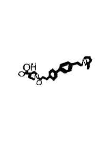 CC1CCCN1CCc1ccc(-c2ccc(CCC(=O)N3CCC(C(=O)O)CC3)cc2)cc1